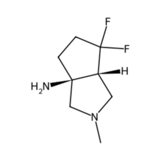 CN1C[C@H]2C(F)(F)CC[C@@]2(N)C1